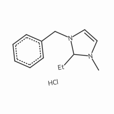 CCC1N(C)C=CN1Cc1ccccc1.Cl